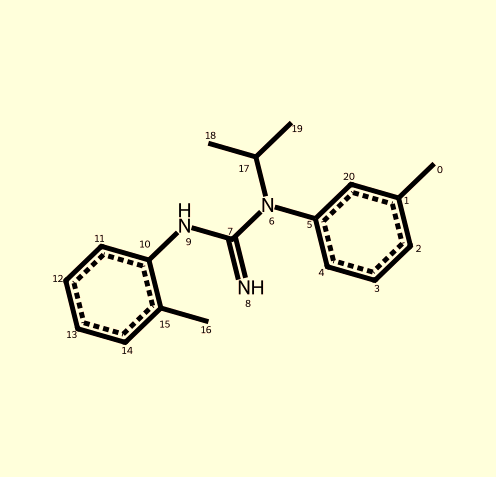 Cc1cccc(N(C(=N)Nc2ccccc2C)C(C)C)c1